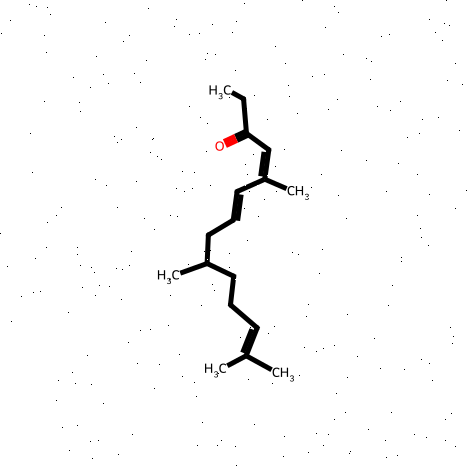 CCC(=O)C=C(C)C=CCC(C)CCC=C(C)C